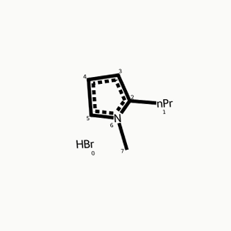 Br.CCCc1cccn1C